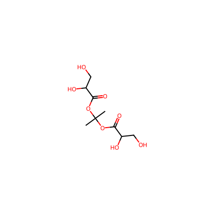 CC(C)(OC(=O)C(O)CO)OC(=O)C(O)CO